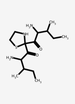 CCC(C)C(N)C(=O)C1(C(=O)C(N)C(C)CC)NCCS1